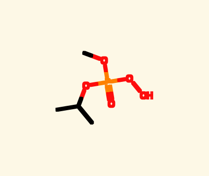 COP(=O)(OO)OC(C)C